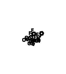 O=C(CNC(=O)C1(C(=O)NC2CC(=O)OC2COc2c(F)c(F)cc(F)c2F)CCC1)OCc1ccccc1